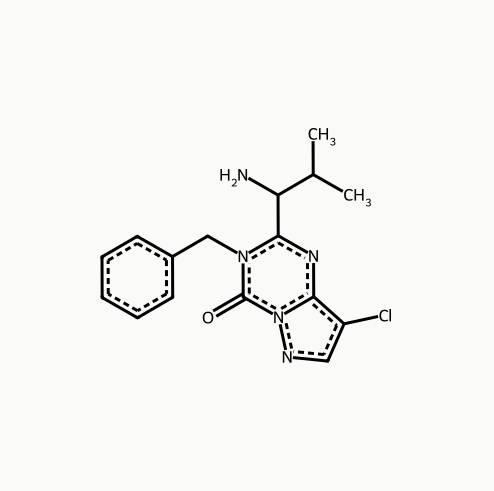 CC(C)C(N)c1nc2c(Cl)cnn2c(=O)n1Cc1ccccc1